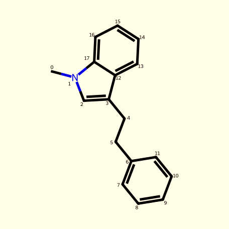 Cn1cc([CH]Cc2ccccc2)c2ccccc21